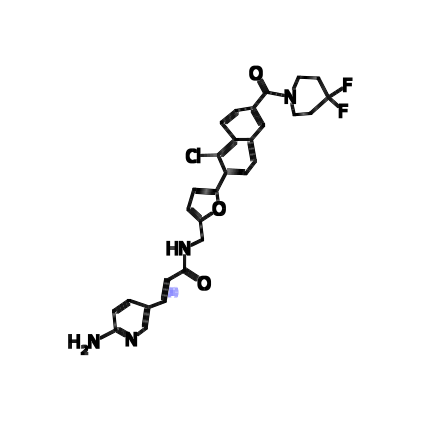 Nc1ccc(/C=C/C(=O)NCc2ccc(-c3ccc4cc(C(=O)N5CCC(F)(F)CC5)ccc4c3Cl)o2)cn1